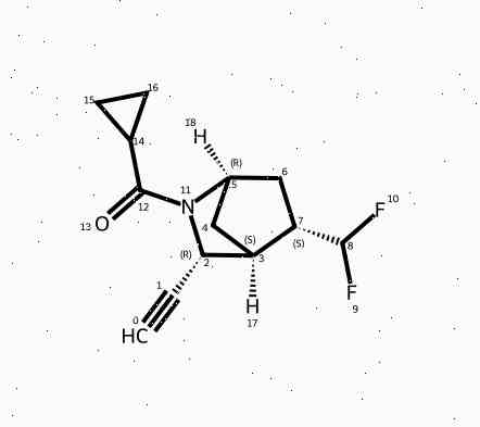 C#C[C@H]1[C@H]2C[C@H](C[C@@H]2C(F)F)N1C(=O)C1CC1